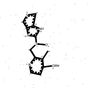 COc1ccnc(C[S+]([O-])c2nc3cscc3[nH]2)c1C